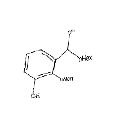 CCCCCCCCCc1c(O)cccc1C(CCC)CCCCCC